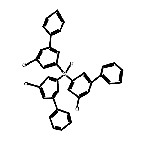 Clc1cc(-c2ccccc2)cc([Si](Cl)(c2cc(Cl)cc(-c3ccccc3)c2)c2cc(Cl)cc(-c3ccccc3)c2)c1